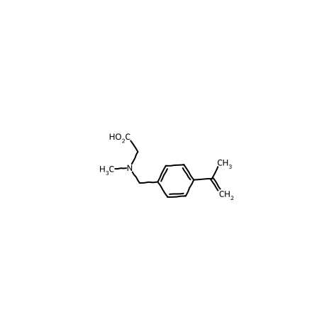 C=C(C)c1ccc(CN(C)CC(=O)O)cc1